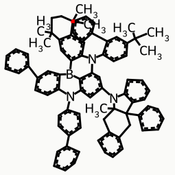 CC(C)(C)c1ccc(N2c3cc4c(cc3B3c5cc(-c6ccccc6)ccc5N(c5ccc(-c6ccccc6)cc5)c5cc(N6c7ccccc7C7(c8ccccc8)Cc8ccccc8CC67C)cc2c53)C(C)(C)CCC4(C)C)c(-c2ccccc2)c1